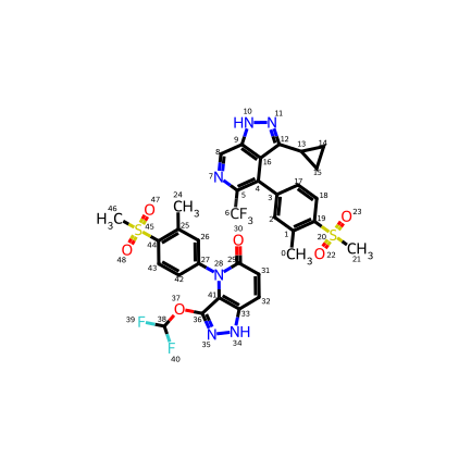 Cc1cc(-c2c(C(F)(F)F)ncc3[nH]nc(C4CC4)c23)ccc1S(C)(=O)=O.Cc1cc(-n2c(=O)ccc3[nH]nc(OC(F)F)c32)ccc1S(C)(=O)=O